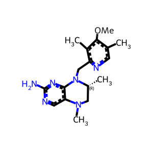 COc1c(C)cnc(CN2c3nc(N)ncc3N(C)C[C@H]2C)c1C